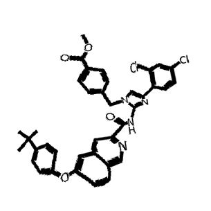 COC(=O)c1ccc(Cn2cc(-c3ccc(Cl)cc3Cl)nc2NC(=O)c2cc3cc(Oc4ccc(C(C)(C)C)cc4)ccc3cn2)cc1